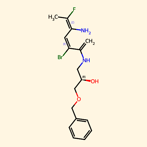 C=C(NC[C@@H](O)COCc1ccccc1)/C(Br)=C\C(N)=C(/C)F